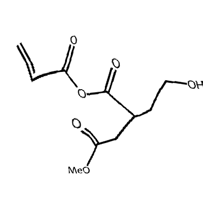 C=CC(=O)OC(=O)C(CCO)CC(=O)OC